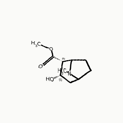 COC(=O)[C@@H]1C2CCC(C[C@@H]1O)N2C